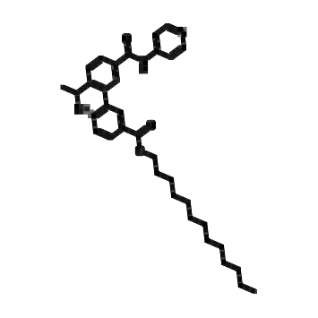 CCCCCCCCCCCCCOC(=O)c1cccc(-c2cc(C(=O)Nc3ccncc3)ccc2C(C)N)c1